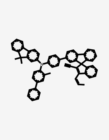 C#CC1=C(/C=C\C)c2ccccc2C12c1ccccc1-c1ccc(-c3ccc(N(c4ccc5c(c4)C(C)(C)c4ccccc4-5)c4ccc(-c5ccccc5)cc4C)cc3)cc12